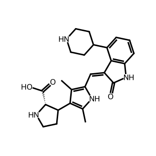 Cc1[nH]c(C=C2C(=O)Nc3cccc(C4CCNCC4)c32)c(C)c1C1CCN[C@@H]1C(=O)O